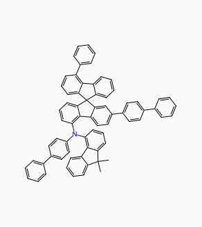 CC1(C)c2ccccc2-c2c(N(c3ccc(-c4ccccc4)cc3)c3cccc4c3-c3ccc(-c5ccc(-c6ccccc6)cc5)cc3C43c4ccccc4-c4c(-c5ccccc5)cccc43)cccc21